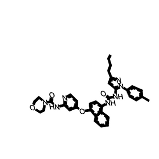 CCCCc1cc(NC(=O)Nc2ccc(Oc3ccnc(NC(=O)N4CCOCC4)c3)c3ccccc23)n(-c2ccc(C)cc2)n1